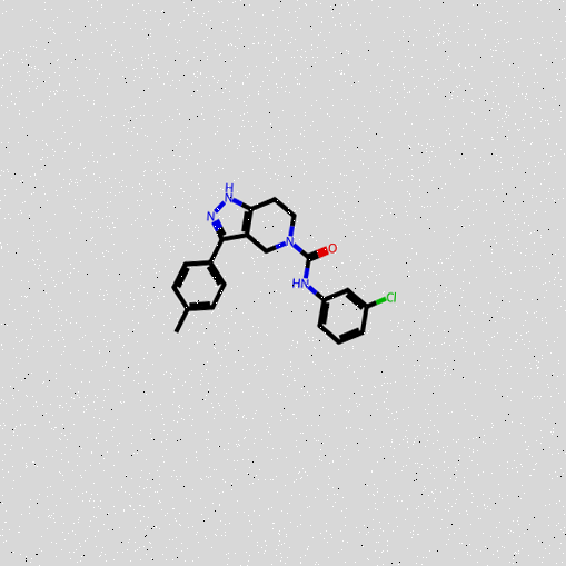 Cc1ccc(-c2n[nH]c3c2CN(C(=O)Nc2cccc(Cl)c2)CC3)cc1